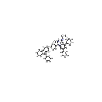 C\C=C/C=c1/oc2cc(-c3ccc4c5ccccc5n(-c5ccccc5)c4c3)ccc2/c1=C1\N=C(c2ccccc2)N=C(c2ccccc2)N1C